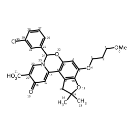 COCCCOc1cc2c(c3c1OC(C)(C)C3)-c1cc(=O)c(C(=O)O)cn1C(c1cccc(Cl)c1)O2